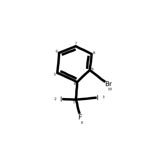 FC(I)(I)c1ccccc1Br